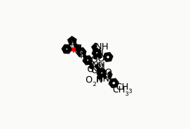 CC(C)c1ccccc1[C@H]1CCCN1C1CC2(CCN(c3ccc(C(=O)NS(=O)(=O)c4cc5c(c([N+](=O)[O-])c4)N[C@@H](C4CCC(C)(C)CC4)CO5)c(Oc4cc5cc[nH]c5nc4OC4CCCCC4)c3)CC2)C1